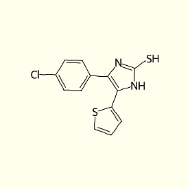 Sc1nc(-c2ccc(Cl)cc2)c(-c2cccs2)[nH]1